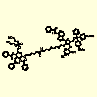 COc1ccc(C(OCC2OC(n3cnc4c(NC(=O)c5ccccc5)ncnc43)[C@H](OCOCCOCCCNC(=O)CCCCCO[C@H]3O[C@H](COP(=O)(OCCC#N)OCCC#N)[C@@H](OC(=O)c4ccccc4)C(OC(=O)c4ccccc4)C3OC(=O)c3ccccc3)[C@@H]2OP(OCCC#N)N(C(C)C)C(C)C)(c2ccccc2)c2ccc(OC)cc2)cc1